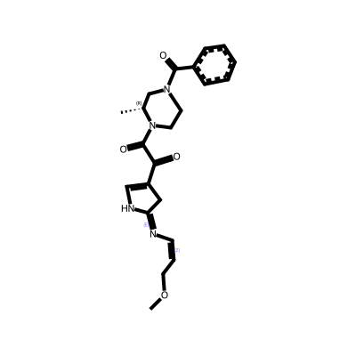 COC/C=C\N=C1/CC(C(=O)C(=O)N2CCN(C(=O)c3ccccc3)C[C@H]2C)=CN1